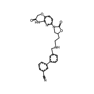 N#Cc1cccc(-c2cccc(CNCCC3CN(c4ccc5c(n4)NC(=O)CO5)C(=O)O3)c2)c1